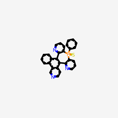 S=P1(c2ccccc2)c2cccnc2-c2c(c3ccncc3c3ccccc23)-c2ncccc21